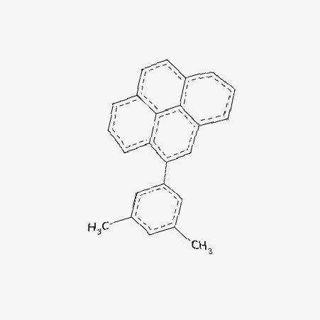 Cc1cc(C)cc(-c2cc3cccc4ccc5cccc2c5c43)c1